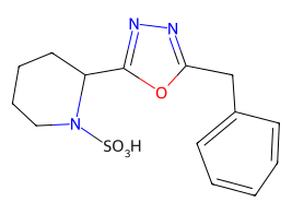 O=S(=O)(O)N1CCCCC1c1nnc(Cc2ccccc2)o1